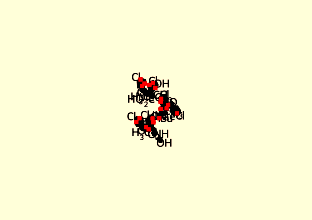 CCC(C)NC(=O)Cc1c(C)n(C(=O)c2ccc(Cl)cc2)c2cc(Cl)c(OC)cc12.COc1cc2c(CC(=O)NCCO)c(C)n(C(=O)c3ccc(Cl)cc3)c2cc1Cl.Cc1c(C(C)C(=O)O)c2cc(O)c(Cl)cc2n1C(=O)c1ccc(Cl)cc1